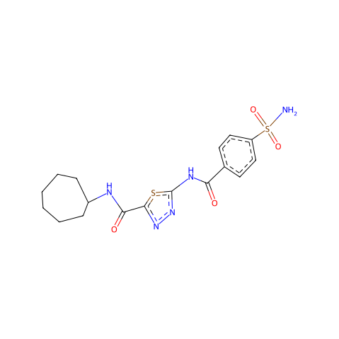 NS(=O)(=O)c1ccc(C(=O)Nc2nnc(C(=O)NC3CCCCCC3)s2)cc1